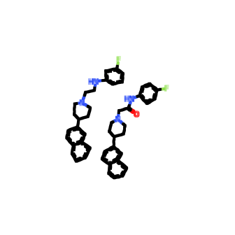 Fc1cccc(NCCN2CCC(c3ccc4ccccc4c3)CC2)c1.O=C(CN1CCC(c2ccc3ccccc3c2)CC1)Nc1ccc(F)cc1